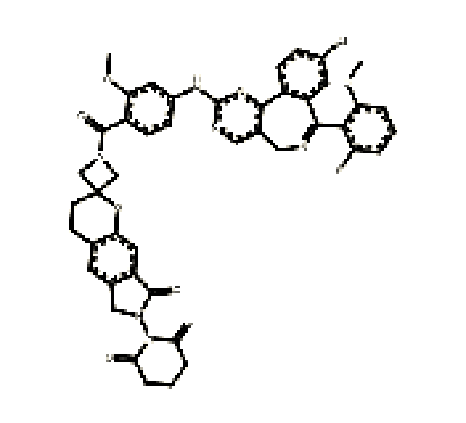 COc1cc(Nc2ncc3c(n2)-c2ccc(Cl)cc2C(c2c(F)cccc2OC)=NC3)ccc1C(=O)N1CC2(CCc3cc4c(cc3O2)C(=O)N(N2C(=O)CCCC2=O)C4)C1